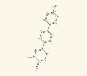 CN1N=C(c2ccc(-c3ccc(Br)cc3)cc2)CCC1=O